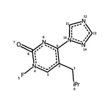 CC(C)Cc1cn(F)c(=O)nc1-n1cncn1